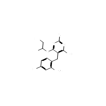 CCCC(CO)Nc1nc(N)nc(C)c1Cc1ccc(Br)cc1OC